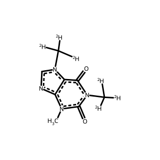 [2H]C([2H])([2H])n1c(=O)c2c(ncn2C([2H])([2H])[2H])n(C)c1=O